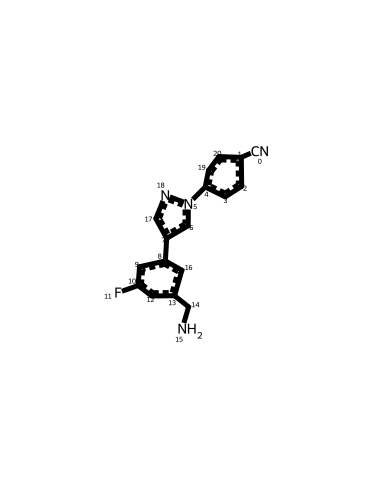 N#Cc1ccc(-n2cc(-c3cc(F)cc(CN)c3)cn2)cc1